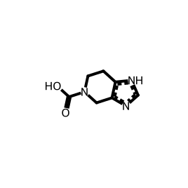 O=C(O)N1CCc2[nH]cnc2C1